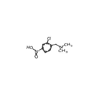 CN(C)Cc1ccc([N+](=O)O)cc1Cl